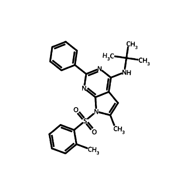 Cc1ccccc1S(=O)(=O)n1c(C)cc2c(NC(C)(C)C)nc(-c3ccccc3)nc21